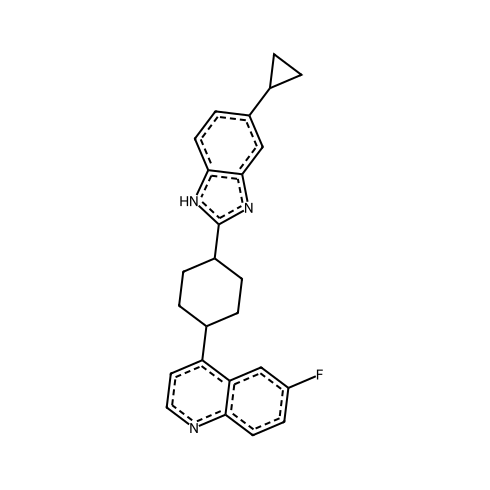 Fc1ccc2nccc(C3CCC(c4nc5cc(C6CC6)ccc5[nH]4)CC3)c2c1